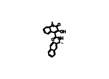 C[C@@H](NC(=O)c1c(O)c(=O)n(C)c2ccccc12)c1ccc2ccccc2c1